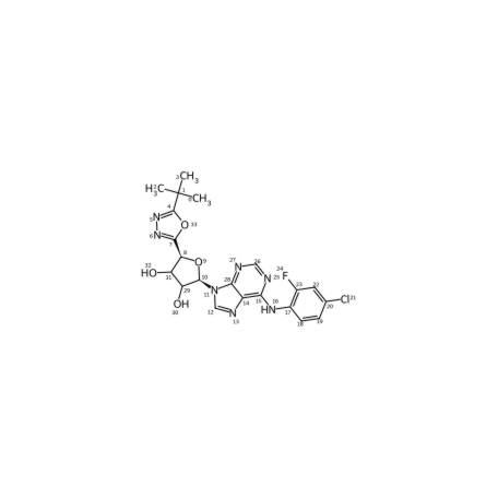 CC(C)(C)c1nnc([C@H]2O[C@@H](n3cnc4c(Nc5ccc(Cl)cc5F)ncnc43)C(O)C2O)o1